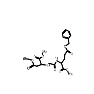 CC(C)(C)OC(=O)CC(NCC(=O)NC(CCC(=O)OCc1ccccc1)C(=O)OC(C)(C)C)C(=O)OC(C)(C)C